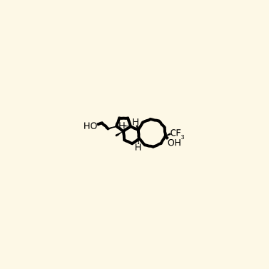 C[C@]12CC[C@@H]3CCC[C@](O)(C(F)(F)F)CCCC[C@H]3[C@@H]1CC[C@@H]2CCO